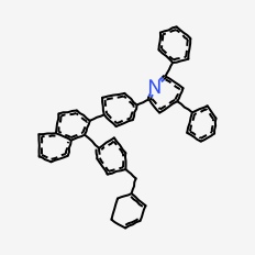 C1=CCCC(Cc2ccc(-c3c(-c4ccc(-c5cc(-c6ccccc6)cc(-c6ccccc6)n5)cc4)ccc4ccccc34)cc2)=C1